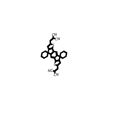 N#CC(C#N)=Cc1cc2c(s1)-c1cc3c(cc1C21CCCCC1)-c1sc(C=C(C#N)C#N)cc1C31CCCCC1